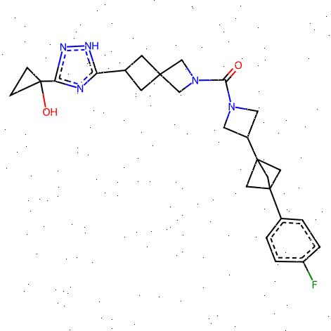 O=C(N1CC(C23CC(c4ccc(F)cc4)(C2)C3)C1)N1CC2(CC(c3nc(C4(O)CC4)n[nH]3)C2)C1